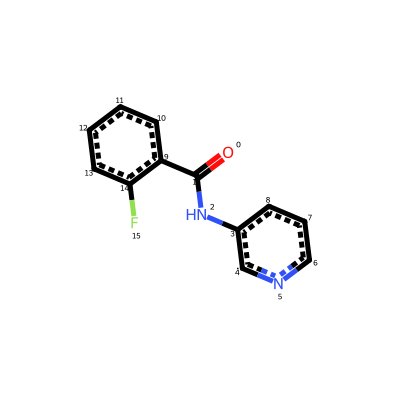 O=C(Nc1[c]nccc1)c1ccccc1F